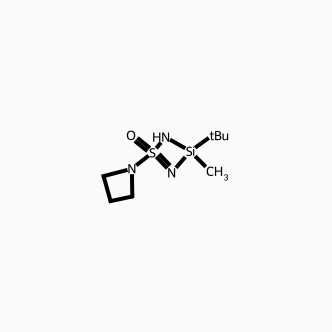 CC(C)(C)[Si]1(C)N=S(=O)(N2CCC2)N1